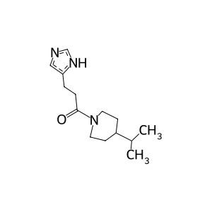 CC(C)C1CCN(C(=O)CCc2cnc[nH]2)CC1